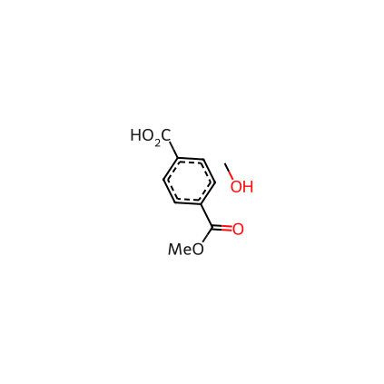 CO.COC(=O)c1ccc(C(=O)O)cc1